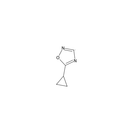 [c]1noc(C2CC2)n1